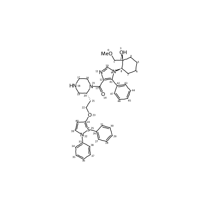 COC[C@]1(O)CCCC[C@H]1n1cnc(C(=O)N2CCNC[C@H]2CCOC2=S(c3ccccc3)N(c3ccccc3)C=C2)c1-c1ccccc1